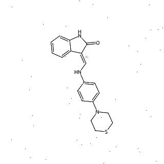 O=C1Nc2ccccc2/C1=C\Nc1ccc(N2CCSCC2)cc1